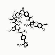 Cc1ncsc1-c1ccc([C@H](C)NC(=O)[C@@H]2C[C@@H](O)CN2C(=O)[C@H]2NC(=O)C(N=[N+]=[N-])(OCCC3(CNc4ccc(C(=O)N[C@H]5C(C)(C)[C@H](Cc6ccc(C#N)c(Cl)c6)C5(C)C)cc4)COC3)C2(C)C)cc1